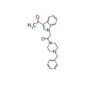 CC(=O)c1cn(CC(=O)N2CCN(Cc3ccccc3)CC2)c2ccccc12